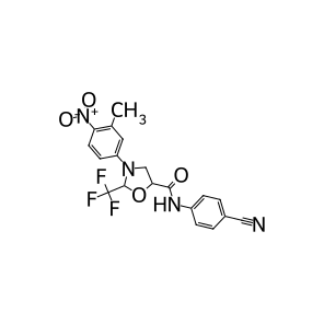 Cc1cc(N2CC(C(=O)Nc3ccc(C#N)cc3)OC2C(F)(F)F)ccc1[N+](=O)[O-]